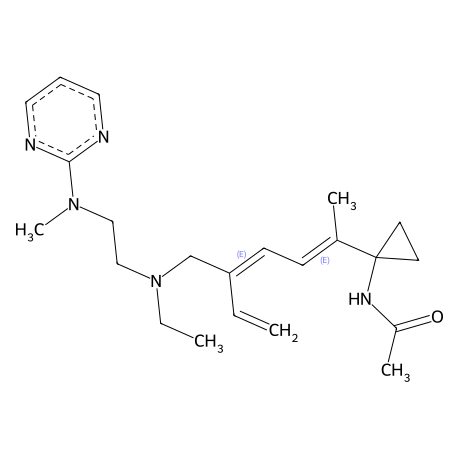 C=C/C(=C\C=C(/C)C1(NC(C)=O)CC1)CN(CC)CCN(C)c1ncccn1